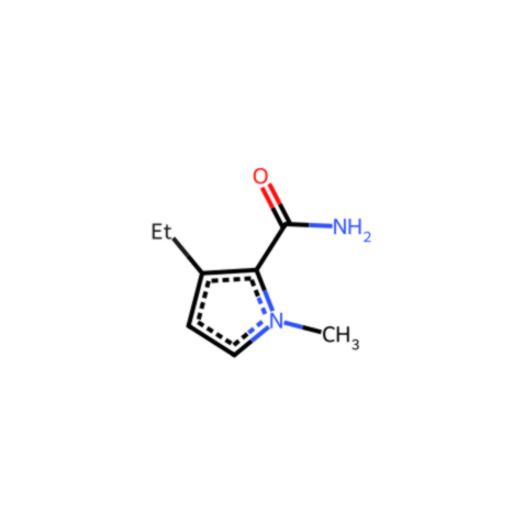 CCc1ccn(C)c1C(N)=O